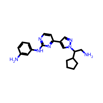 NCC(C1CCCC1)n1cc(-c2ccnc(Nc3cccc(N)c3)n2)cn1